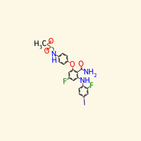 CS(=O)(=O)CNc1ccc(Oc2cc(F)cc(Nc3ccc(I)cc3F)c2C(N)=O)cc1